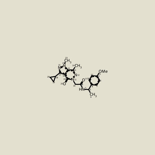 COc1ccc(C(C)NC(=O)Cn2nc(C)c3c(c(C4CC4)nn3C)c2=O)cc1